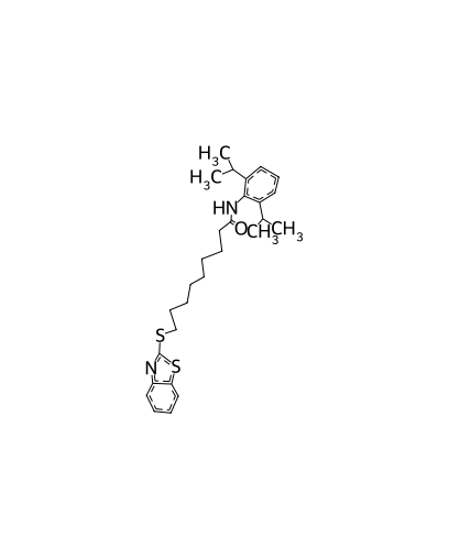 CC(C)c1cccc(C(C)C)c1NC(=O)CCCCCCCCSc1nc2ccccc2s1